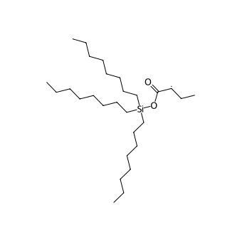 CC[CH]C(=O)O[Si](CCCCCCCC)(CCCCCCCC)CCCCCCCC